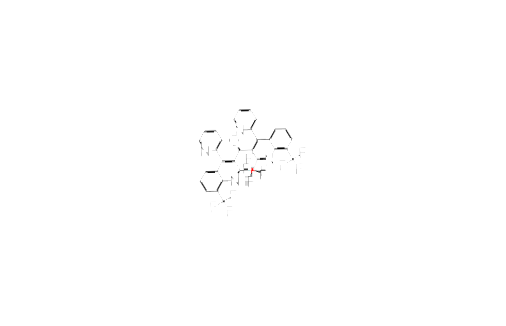 O=C(c1c(C(F)(F)F)nc2c(C(F)(F)F)cccc2c1-c1ccccn1)c1c(C(F)(F)F)nc2c(C(F)(F)F)cccc2c1-c1ccccn1